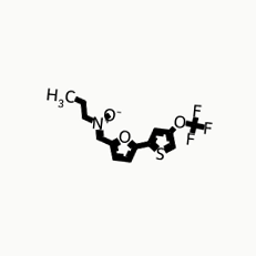 CCC[N+]([O-])=Cc1ccc(-c2cc(OC(F)(F)F)cs2)o1